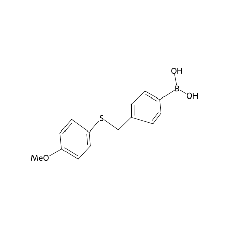 COc1ccc(SCc2ccc(B(O)O)cc2)cc1